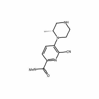 CNC(=O)c1ccc(N2CCNC[C@H]2C)c(C#N)n1